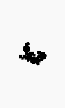 COc1ccc(CN(N)/C(=N\N)C(F)(F)c2ccc3c(C)nn(Cc4c(C)ccnc4Cl)c3c2)cc1